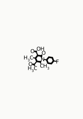 CC(=O)c1c(C)c(C(=O)O)c(=O)n(-c2ccc(F)cc2)c1C